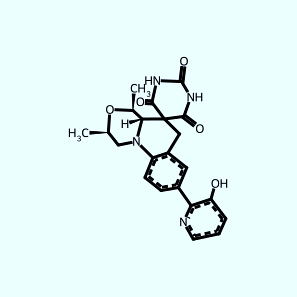 C[C@@H]1CN2c3ccc(-c4ncccc4O)cc3CC3(C(=O)NC(=O)NC3=O)[C@H]2[C@H](C)O1